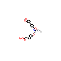 Cc1oc(-c2ccc(-c3ccc4c(c3)OCO4)cc2)nc1CCOc1ccc2c(c1)CC[C@H]2CC(=O)O